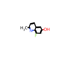 Cc1ccc2cc(O)[c]c(F)c2n1